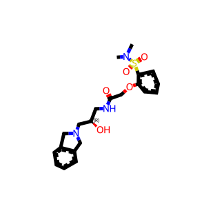 CN(C)S(=O)(=O)c1ccccc1OCC(=O)NC[C@@H](O)CN1Cc2ccccc2C1